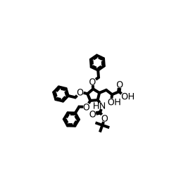 CC(C)(C)OC(=O)NC1C(CC(O)C(=O)O)C(OCc2ccccc2)C(OCc2ccccc2)C1OCc1ccccc1